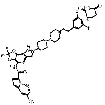 N#Cc1cnn2c(C(=O)Nc3cc4c(c5c3OC(F)(F)O5)NN(C3CCC(N5CCN(CCc6cc(F)c([C@H]7CCC(=O)NC7=O)c(F)c6)CC5)CC3)C4)ccc2c1